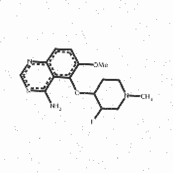 COc1ccc2ncnc(N)c2c1OC1CCN(C)CC1F